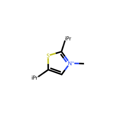 CC(C)c1c[n+](C)c(C(C)C)s1